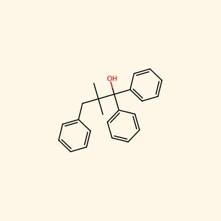 CC(C)(Cc1ccccc1)C(O)(c1ccccc1)c1ccccc1